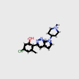 Cc1cc(Cl)cc(O)c1-c1cc2ccn(C3CCN(C)CC3)c2nn1